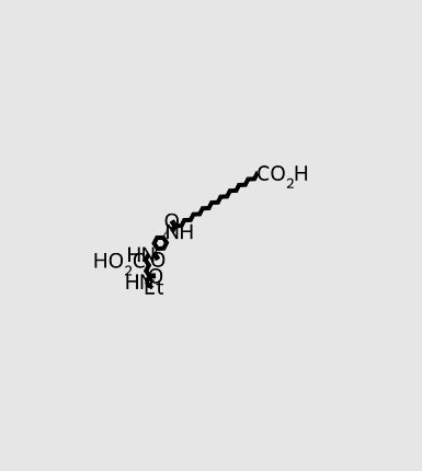 CCNC(=O)CC[C@H](NC(=O)[C@H]1CC[C@H](CNC(=O)CCCCCCCCCCCCCCCCCCC(=O)O)CC1)C(=O)O